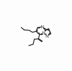 C=C(CCC)c1c(CCCC)cnc2ccnn12